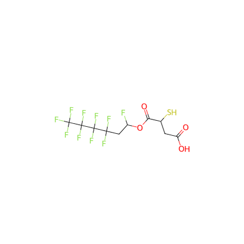 O=C(O)CC(S)C(=O)OC(F)CC(F)(F)C(F)(F)C(F)(F)C(F)(F)F